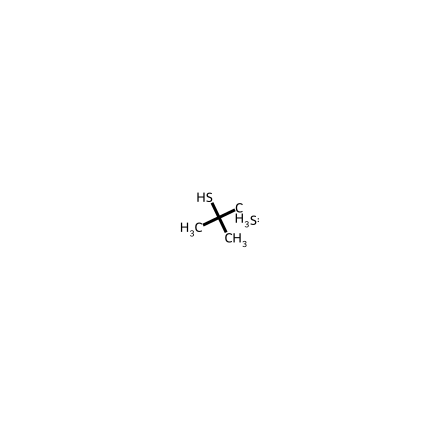 CC(C)(C)S.[S]